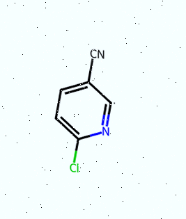 N#Cc1[c]nc(Cl)cc1